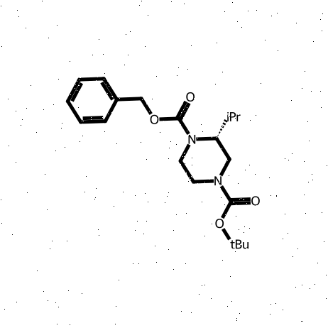 CC(C)[C@@H]1CN(C(=O)OC(C)(C)C)CCN1C(=O)OCc1ccccc1